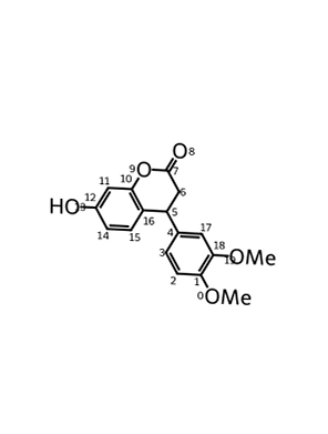 COc1ccc(C2CC(=O)Oc3cc(O)ccc32)cc1OC